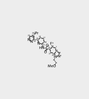 COCCn1ncc2cc(F)c(S(=O)(=O)Nc3cccc(-c4nncn4C(C)C)n3)cc21